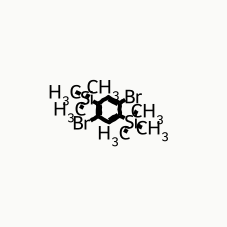 C[Si](C)(C)c1cc(Br)c([Si](C)(C)C)cc1Br